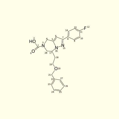 O=C(O)N1Cc2cc(-c3ccc(F)cc3)nn2C(CCOCc2ccccc2)C1